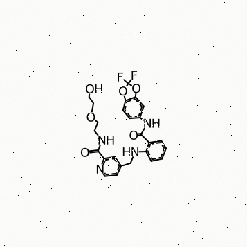 O=C(NCCOCCO)c1cc(CNc2ccccc2C(=O)Nc2ccc3c(c2)OC(F)(F)O3)ccn1